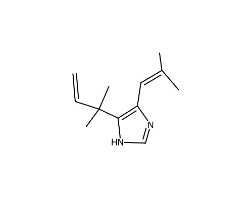 C=CC(C)(C)c1[nH]cnc1C=C(C)C